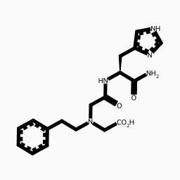 NC(=O)[C@H](Cc1c[nH]cn1)NC(=O)CN(CCc1ccccc1)CC(=O)O